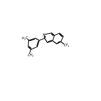 Cc1cc(C)cc(-c2cc3cc(C(F)(F)F)ccc3cn2)c1